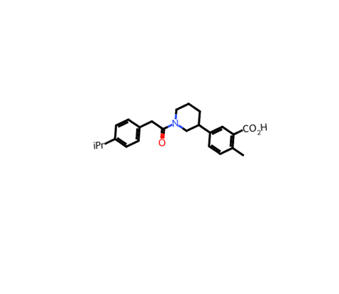 Cc1ccc(C2CCCN(C(=O)Cc3ccc(C(C)C)cc3)C2)cc1C(=O)O